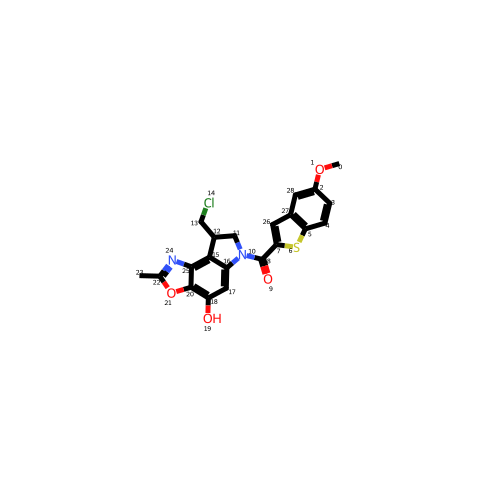 COc1ccc2sc(C(=O)N3CC(CCl)c4c3cc(O)c3oc(C)nc43)cc2c1